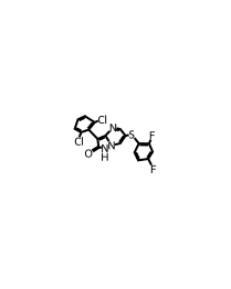 O=c1[nH]n2cc(Sc3ccc(F)cc3F)cnc2c1-c1c(Cl)cccc1Cl